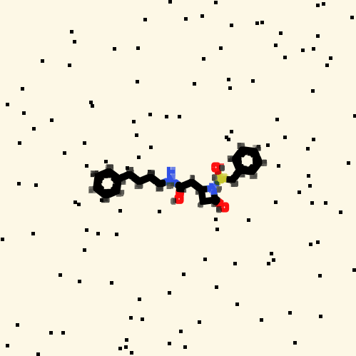 O=C(CC1CC(=O)N1[S+]([O-])Cc1ccccc1)NCCCCc1ccccc1